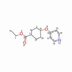 CCOC(=O)C1CCC(Oc2ccncc2)CC1